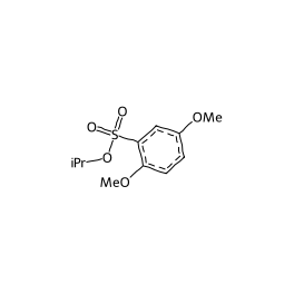 COc1ccc(OC)c(S(=O)(=O)OC(C)C)c1